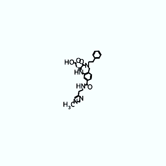 Cn1cnc(CCNC(=O)c2ccc3c(c2)N[C@H](CC(=O)O)C(=O)N(CCc2ccccc2)C3)c1